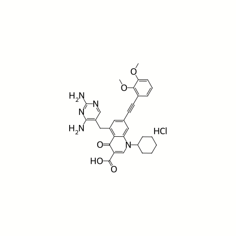 COc1cccc(C#Cc2cc(Cc3cnc(N)nc3N)c3c(=O)c(C(=O)O)cn(C4CCCCC4)c3c2)c1OC.Cl